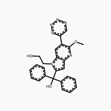 COc1nc2cc(C(O)(c3ccccc3)c3ccccc3)n(CCO)c2cc1-c1cnnnn1